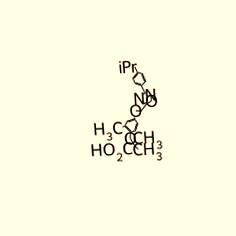 Cc1cc(OCc2nc(-c3ccc(C(C)C)cc3)no2)ccc1OC(C)(C)C(=O)O